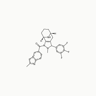 Cc1cn2cc(C(=O)N3C4=C(C[C@H]5CCC[C@@H]4N5)C(c4cc(F)c(F)c(F)c4)N3C)ccc2n1